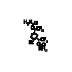 [CH2]Cc1ccc(C(OC(N)=O)C(F)(F)F)cc1C(OC(N)=O)C(F)(F)F